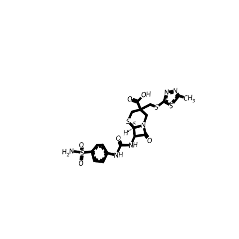 Cc1nnc(SCC2(C(=O)O)CS[C@@H]3C(NC(=O)Nc4ccc(S(N)(=O)=O)cc4)C(=O)N3C2)s1